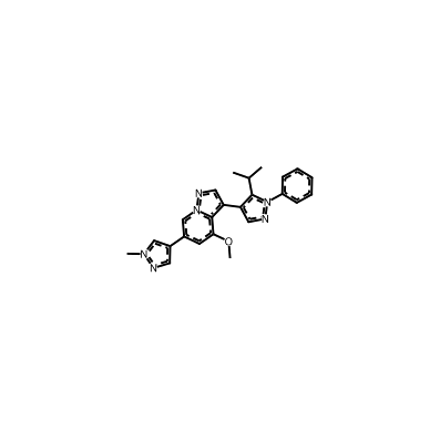 COc1cc(-c2cnn(C)c2)cn2ncc(-c3cnn(-c4ccccc4)c3C(C)C)c12